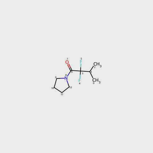 CC(C)C(F)(F)C(=O)N1CCCC1